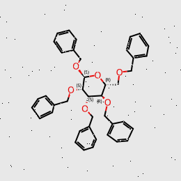 c1ccc(COC[C@H]2O[C@H](OCc3ccccc3)[C@@H](OCc3ccccc3)[C@@H](OCc3ccccc3)[C@@H]2OCc2ccccc2)cc1